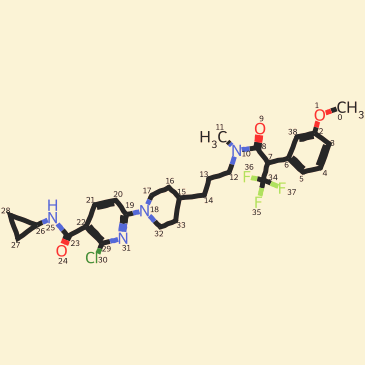 COc1cccc(C(C(=O)N(C)CCCC2CCN(c3ccc(C(=O)NC4CC4)c(Cl)n3)CC2)C(F)(F)F)c1